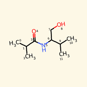 CC(C)C(=O)NC(CO)C(C)C